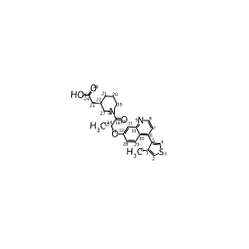 Cc1cscc1-c1ccnc2cc(O[C@H](C)C(=O)N3CCC[C@H](CC(=O)O)C3)ccc12